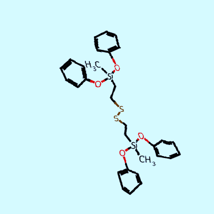 C[Si](CCSSCC[Si](C)(Oc1ccccc1)Oc1ccccc1)(Oc1ccccc1)Oc1ccccc1